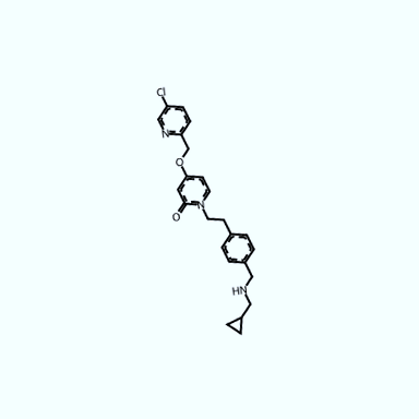 O=c1cc(OCc2ccc(Cl)cn2)ccn1CCc1ccc(CNCC2CC2)cc1